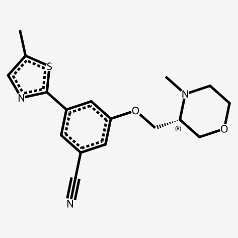 Cc1cnc(-c2cc(C#N)cc(OC[C@H]3COCCN3C)c2)s1